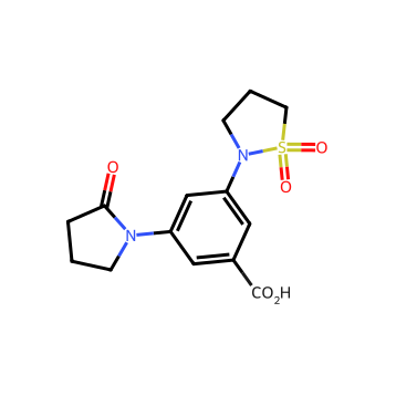 O=C(O)c1cc(N2CCCC2=O)cc(N2CCCS2(=O)=O)c1